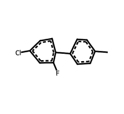 Cc1ccc(-c2ccc(Cl)cc2F)cc1